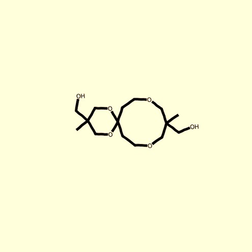 CC1(CO)COCCC2(CCOC1)OCC(C)(CO)CO2